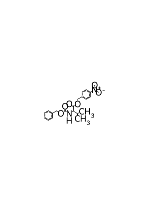 CC(C)C(NC(=O)OCc1ccccc1)C(=O)OCc1ccc([N+](=O)[O-])cc1